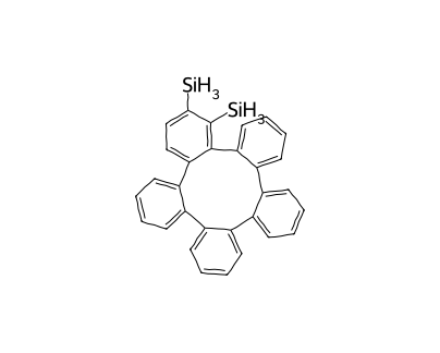 [SiH3]c1ccc2c3ccccc3c3ccccc3c3ccccc3c3ccccc3c2c1[SiH3]